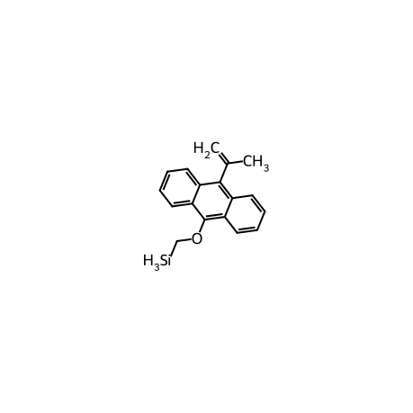 C=C(C)c1c2ccccc2c(OC[SiH3])c2ccccc12